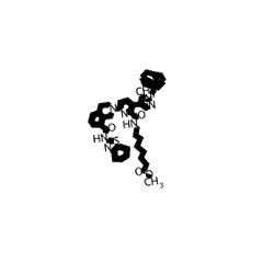 COC(=O)CCCCCCCNC(=O)c1nc(N2CCc3cccc(C(=O)Nc4nc5ccccc5s4)c3C2)ccc1-c1cnn(CC23CC4CC(CC(C4)C2)C3)c1C